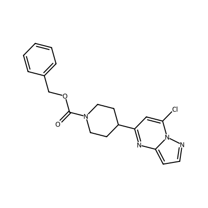 O=C(OCc1ccccc1)N1CCC(c2cc(Cl)n3nccc3n2)CC1